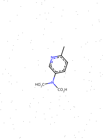 Cc1ccc(N(C(=O)O)C(=O)O)cn1